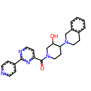 O=C(c1ccnc(-c2ccncc2)n1)N1CCC(N2CCc3ccccc3C2)C(O)C1